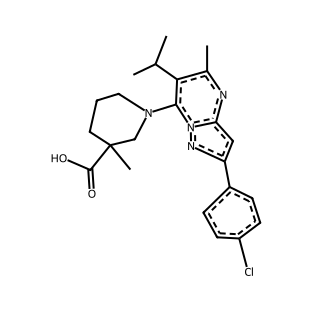 Cc1nc2cc(-c3ccc(Cl)cc3)nn2c(N2CCCC(C)(C(=O)O)C2)c1C(C)C